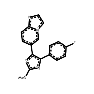 CNc1nc(-c2ccc(F)cc2)c(-c2ccc3nccn3c2)s1